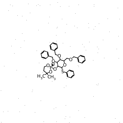 CC1(C)CCOP(=O)(OC2C(Sc3ccccc3)OC(COCc3ccccc3)C(OCc3ccccc3)C2OCc2ccccc2)O1